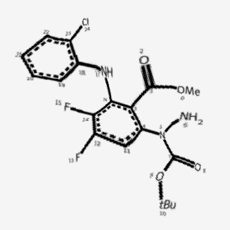 COC(=O)c1c(N(N)C(=O)OC(C)(C)C)cc(F)c(F)c1Nc1ccccc1Cl